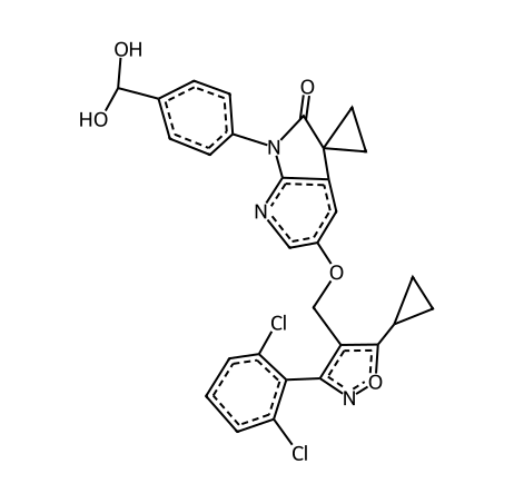 O=C1N(c2ccc(C(O)O)cc2)c2ncc(OCc3c(-c4c(Cl)cccc4Cl)noc3C3CC3)cc2C12CC2